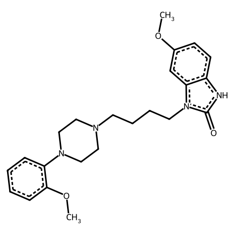 COc1ccc2[nH]c(=O)n(CCCCN3CCN(c4ccccc4OC)CC3)c2c1